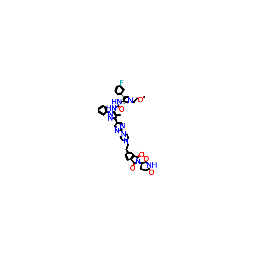 COCCN1C[C@@H](NC(=O)Nc2c(C)c(-c3cnc(N4CCN(CCc5ccc6c(c5)C(=O)N(C5CCC(=O)NC5=O)C6=O)CC4)nc3)nn2-c2ccccc2)[C@H](c2cccc(F)c2)C1